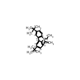 CCS12c3ccc(C(C)(C)C)cc3-c3cc(C(C)(C)C)cc(c31)C2C